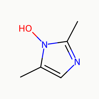 Cc1cnc(C)n1O